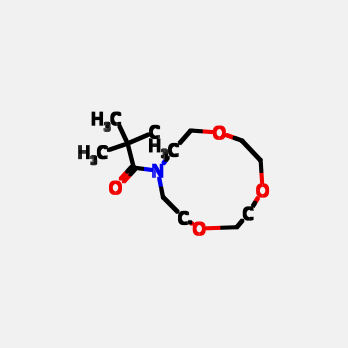 CC(C)(C)C(=O)N1CCOCCOCCOCC1